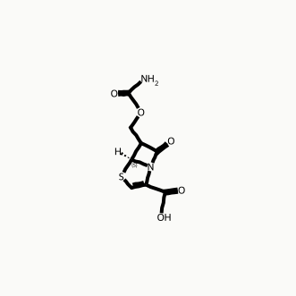 NC(=O)OCC1C(=O)N2C(C(=O)O)=CS[C@@H]12